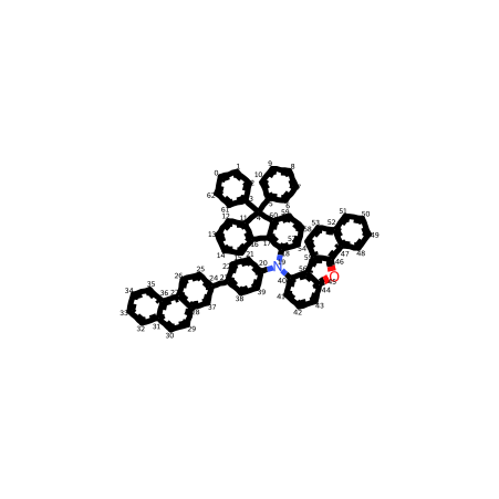 c1ccc(C2(c3ccccc3)c3ccccc3-c3c(N(c4ccc(-c5ccc6c(ccc7ccccc76)c5)cc4)c4cccc5oc6c7ccccc7ccc6c45)cccc32)cc1